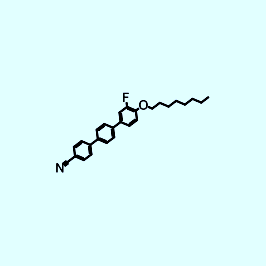 CCCCCCCCOc1ccc(-c2ccc(-c3ccc(C#N)cc3)cc2)cc1F